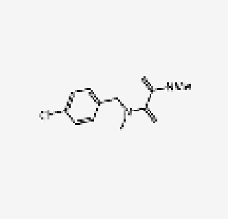 C=C(NC)C(=C)N(C)Cc1ccc(Cl)cc1